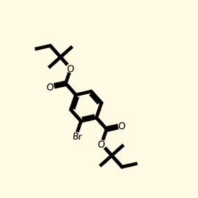 CCC(C)(C)OC(=O)c1ccc(C(=O)OC(C)(C)CC)c(Br)c1